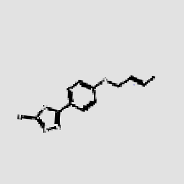 C/C=C/COc1ccc(-c2nnc(CC)s2)cc1